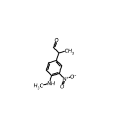 CNc1ccc(C(C)C=O)cc1[N+](=O)[O-]